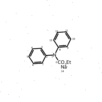 CCOC(=O)N(c1ccccc1)c1ccccc1.[Na]